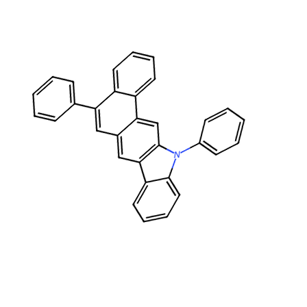 c1ccc(-c2cc3cc4c5ccccc5n(-c5ccccc5)c4cc3c3ccccc23)cc1